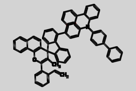 C=Cc1ccccc1C1=C(C)C2(c3ccccc3-c3c(-c4ccc(N(c5ccc(-c6ccccc6)cc5)c5ccccc5-c5ccccc5)cc4)cccc32)c2ccc3ccccc3c2O1